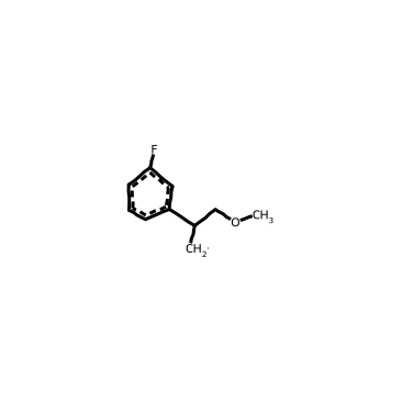 [CH2]C(COC)c1cccc(F)c1